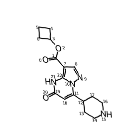 O=C(OC1CCC1)c1cnn2c(C3CCNCC3)cc(=O)[nH]c12